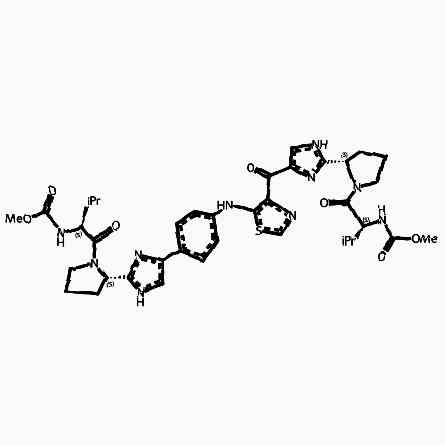 COC(=O)N[C@H](C(=O)N1CCC[C@H]1c1nc(C(=O)c2ncsc2Nc2ccc(-c3c[nH]c([C@@H]4CCCN4C(=O)[C@@H](NC(=O)OC)C(C)C)n3)cc2)c[nH]1)C(C)C